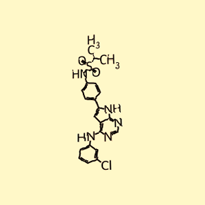 CC(C)S(=O)(=O)Nc1ccc(-c2cc3c(Nc4cccc(Cl)c4)ncnc3[nH]2)cc1